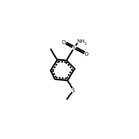 CSc1ccc(C)c(S(N)(=O)=O)c1